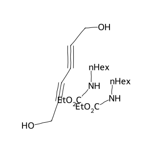 CCCCCCNC(=O)OCC.CCCCCCNC(=O)OCC.OCC#CC#CCO